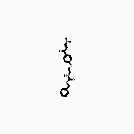 CN(C)/C=C/C(=O)c1ccc(OCCNC(=O)OCc2ccccc2)cc1